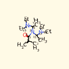 C=C(C)C(=O)N(C(C)N(CC)CC)C(C)N(CC)CC